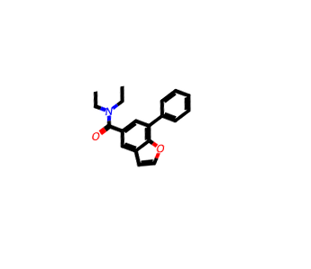 CCN(CC)C(=O)c1cc(-c2ccccc2)c2occc2c1